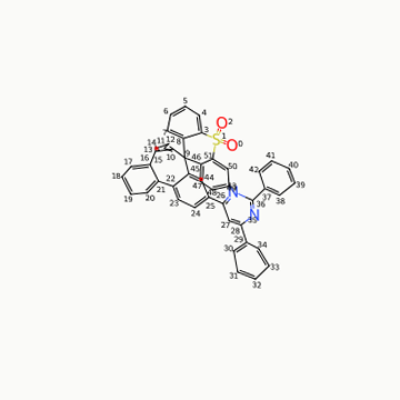 O=S1(=O)c2ccccc2C2(c3ccccc3-c3ccccc3-c3ccc(-c4cc(-c5ccccc5)nc(-c5ccccc5)n4)cc32)c2ccccc21